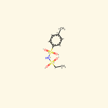 CCS(=O)(=O)NS(=O)(=O)c1ccc(C)cc1